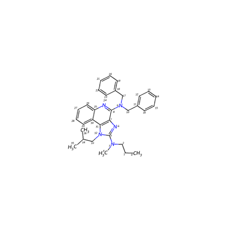 CCCN(C)c1nc2c(N(Cc3ccccc3)Cc3ccccc3)nc3ccccc3c2n1CC(C)C